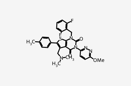 COc1ccc(-n2c(=O)c3c(CN(C)C)c(-c4ccc(C)cc4)sc3n(Cc3c(F)cccc3F)c2=O)nn1